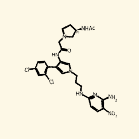 CC(=O)N[C@@H]1CCN(CC(=O)Nc2cn(CCCNc3ccc([N+](=O)[O-])c(N)n3)cc2-c2ccc(Cl)cc2Cl)C1